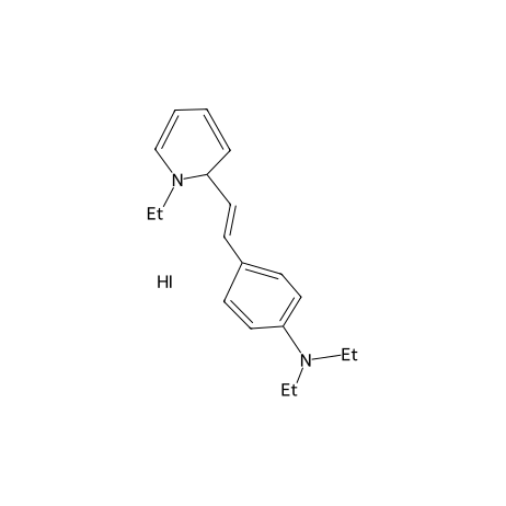 CCN(CC)c1ccc(C=CC2C=CC=CN2CC)cc1.I